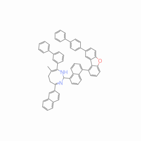 C/C1=C(\c2cccc(-c3ccccc3)c2)NC(c2cccc3c(-c4cccc5oc6ccc(-c7ccc(-c8ccccc8)cc7)cc6c45)cccc23)/N=C(/c2ccc3ccccc3c2)CC1